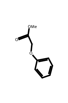 COC(=O)[CH]Oc1ccccc1